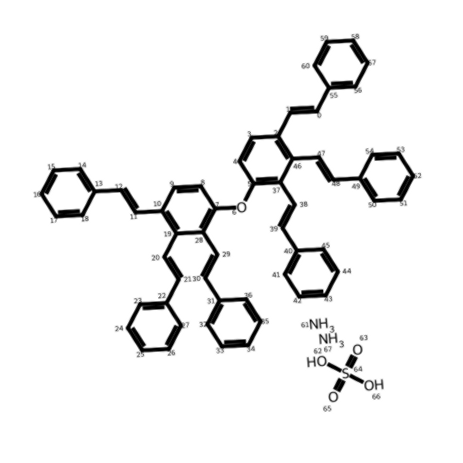 C(=Cc1ccc(Oc2ccc(C=Cc3ccccc3)c(C=Cc3ccccc3)c2C=Cc2ccccc2)c(C=Cc2ccccc2)c1C=Cc1ccccc1)c1ccccc1.N.N.O=S(=O)(O)O